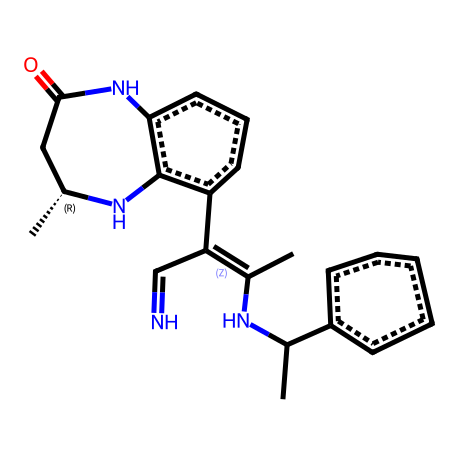 C/C(NC(C)c1ccccc1)=C(/C=N)c1cccc2c1N[C@H](C)CC(=O)N2